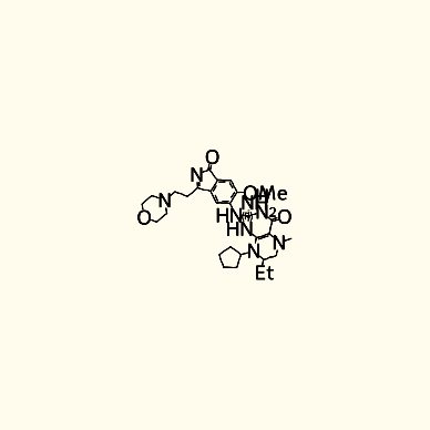 CCC1CN(C)C2=C(N[C@@](N)(Nc3cc4c(cc3OC)C(=O)N=C4CCN3CCOCC3)NC2=O)N1C1CCCC1